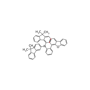 CC1(C)c2ccccc2-c2cc(N(c3ccccc3-c3cccc4c3oc3ccccc34)c3cccc4c3-c3ccccc3C4(C)C)ccc21